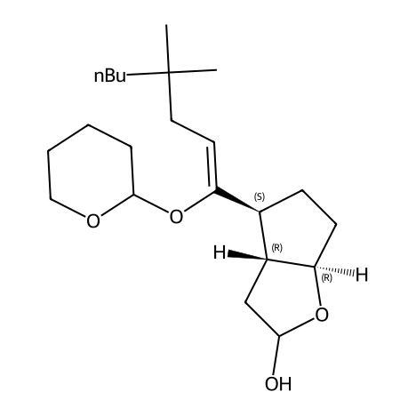 CCCCC(C)(C)CC=C(OC1CCCCO1)[C@H]1CC[C@H]2OC(O)C[C@H]12